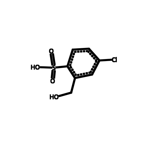 O=S(=O)(O)c1ccc(Cl)cc1CO